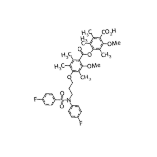 COc1c(C)c(OC(=O)c2c(C)c(C)c(OCCCN(c3ccc(F)cc3)S(=O)(=O)c3ccc(F)cc3)c(C)c2OC)c(C)c(C)c1C(=O)O